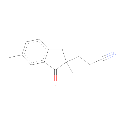 Cc1ccc2c(c1)C(=O)C(C)(CCC#N)C2